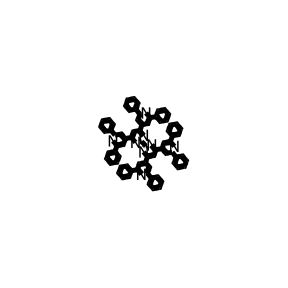 c1ccc(-c2cc(-c3cc(-c4cc(-c5ccccc5)nc(-c5ccccc5)c4)nc(-c4nc(-c5cc(-c6ccccc6)nc(-c6ccccc6)c5)cc(-c5cc(-c6ccccc6)nc(-c6ccccc6)c5)n4)n3)cc(-c3ccccc3)n2)cc1